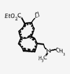 CCOC(=O)c1cc2cccc(CN(C)C)c2cc1Cl